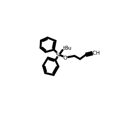 C#CCCO[Si](c1ccccc1)(c1ccccc1)C(C)(C)C